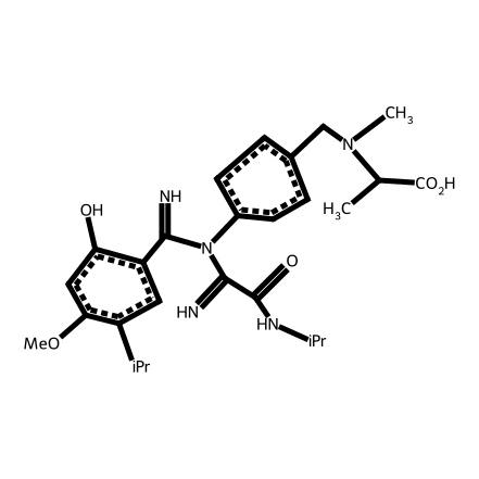 COc1cc(O)c(C(=N)N(C(=N)C(=O)NC(C)C)c2ccc(CN(C)C(C)C(=O)O)cc2)cc1C(C)C